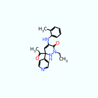 CCN1NC(C(C)=O)(c2ccncc2)C=C(Nc2ccccc2C)C1=O